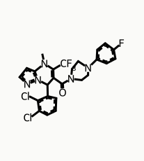 CN1C(C(F)(F)F)=C(C(=O)N2CCN(c3ccc(F)cc3)CC2)C(c2cccc(Cl)c2Cl)n2nccc21